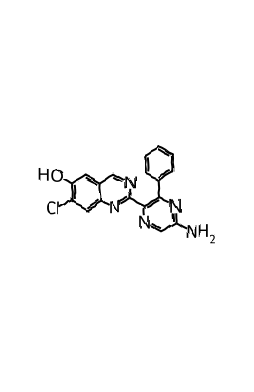 Nc1cnc(-c2ncc3cc(O)c(Cl)cc3n2)c(-c2ccccc2)n1